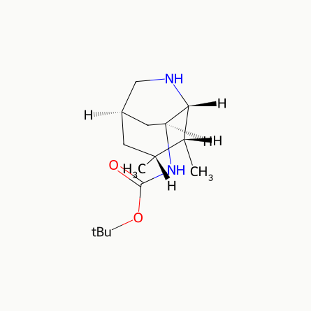 C[C@H]1[C@H]2NC[C@H](C[C@H]1C)C[C@@H]2NC(=O)OC(C)(C)C